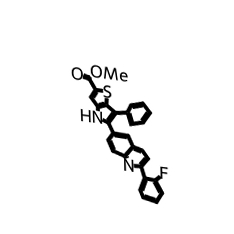 COC(=O)c1cc2[nH]c(-c3ccc4nc(-c5ccccc5F)ccc4c3)c(-c3ccccc3)c2s1